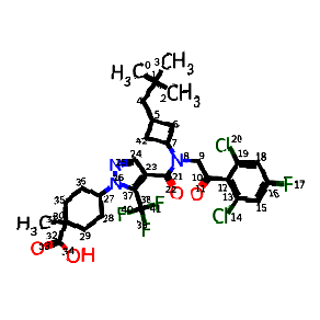 CC(C)(C)CC1CC(N(CC(=O)c2c(Cl)cc(F)cc2Cl)C(=O)c2cnn(C3CCC(C)(C(=O)O)CC3)c2C(F)(F)F)C1